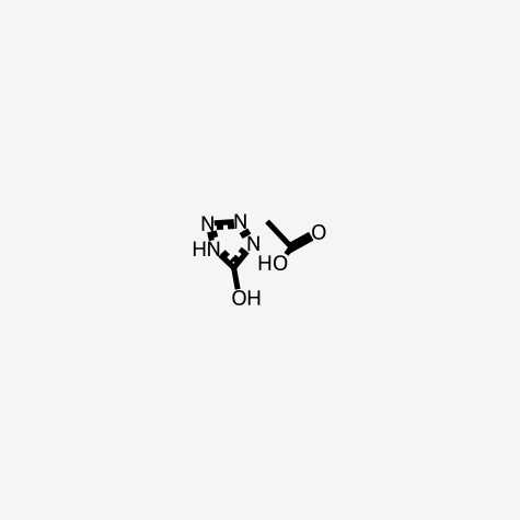 CC(=O)O.Oc1nnn[nH]1